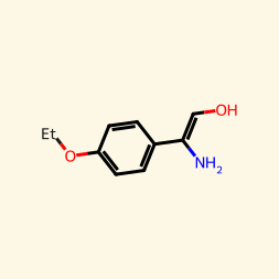 CCOc1ccc(/C(N)=C/O)cc1